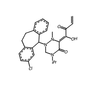 C=CC(=O)/C(O)=C1/C(=O)N(C(C)C)CN(C2c3ccccc3CCc3ccc(Cl)cc32)N1C